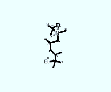 CCC(C)(C)C(C)CC(C)CN(C)C(C)(C)CC